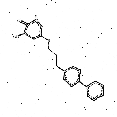 O=c1[nH]cc(SCCCc2ccc(-c3ccccc3)cc2)cc1O